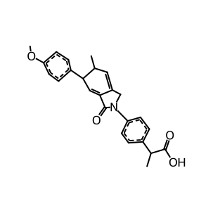 COc1ccc(C2C=C3C(=O)N(c4ccc(C(C)C(=O)O)cc4)CC3=CC2C)cc1